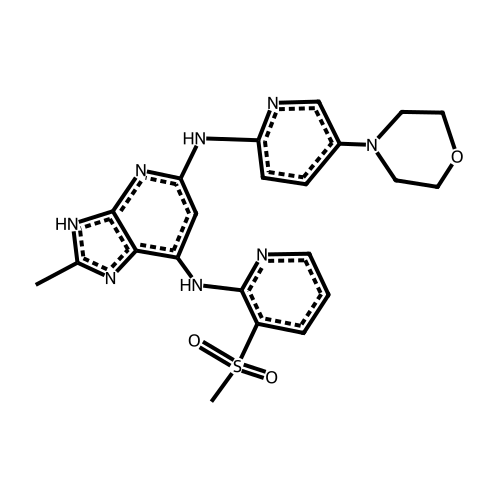 Cc1nc2c(Nc3ncccc3S(C)(=O)=O)cc(Nc3ccc(N4CCOCC4)cn3)nc2[nH]1